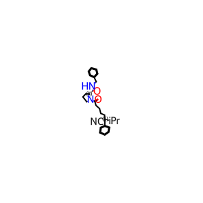 CC(C)[C@@](C#N)(CCCCC(=O)N1CCC[C@@H]1C(=O)NCc1ccccc1)c1ccccc1